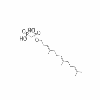 CC(C)=CCC/C(C)=C/CC/C(C)=C/CCOP(=O)(O)CP(=O)(O)O